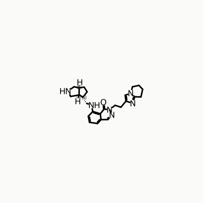 O=c1c2c(NC[C@H]3CC[C@@H]4CNC[C@H]43)cccc2cnn1CCc1cn2c(n1)CCCC2